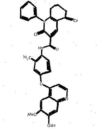 COc1cc2nccc(Oc3ccc(NC(=O)c4cc5c(n(-c6ccccc6)c4=O)CCCC5=O)c(C)c3)c2cc1OC